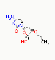 C=CCO[C@@H]1C[C@H](n2ccc(N)nc2=O)O[C@@H]1CO